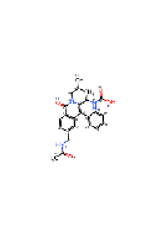 CC(=O)NCc1ccc2c(=O)n(CC(C)C)c(CNC(=O)O)c(-c3ccccc3)c2c1